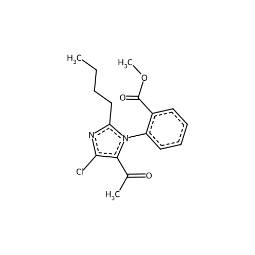 CCCCc1nc(Cl)c(C(C)=O)n1-c1ccccc1C(=O)OC